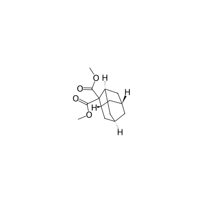 COC(=O)C1(C(=O)OC)[C@H]2C[C@@H]3C[C@@H](C[C@H]1C3)C2